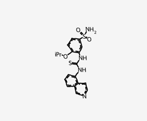 CC(C)Oc1ccc(S(N)(=O)=O)cc1NC(=S)Nc1cccc2cnccc12